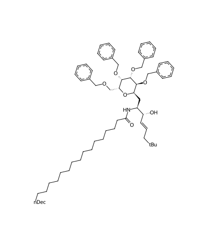 CCCCCCCCCCCCCCCCCCCCCCCCCC(=O)N[C@@H](C[C@H]1O[C@H](COCc2ccccc2)[C@H](OCc2ccccc2)[C@H](OCc2ccccc2)[C@H]1OCc1ccccc1)[C@H](O)C=CCC(C)(C)C